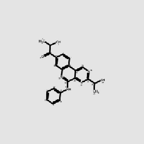 CC(O)C(=O)c1ccc2c(c1)nc(Nc1ccccc1)c1nc(C(C)S)ncc12